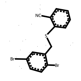 N#Cc1ccccc1SCc1cc(Br)ccc1Br